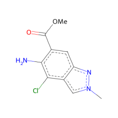 COC(=O)c1cc2nn(C)cc2c(Cl)c1N